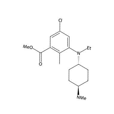 CCN(c1cc(Cl)cc(C(=O)OC)c1C)[C@H]1CC[C@H](NC)CC1